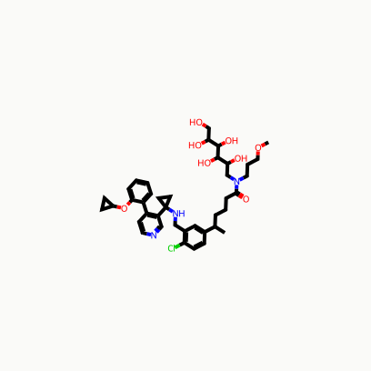 COCCCN(CC(O)C(O)C(O)C(O)CO)C(=O)CCCC(C)c1ccc(Cl)c(CNC2(c3cnccc3-c3ccccc3OC3CC3)CC2)c1